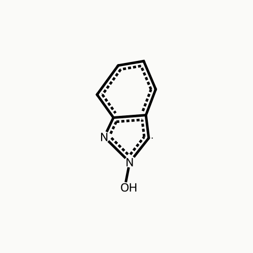 On1[c]c2ccccc2n1